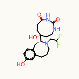 O=C1CC[C@](O)([C@H]2Cc3ccc(O)cc3CCCN2CC(F)F)CCNC(=O)N1